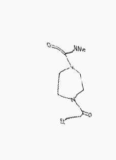 CCC(=O)N1CCN(C(=O)NC)CC1